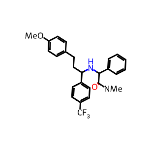 CNC(=O)C(NC(CCc1ccc(OC)cc1)c1ccc(C(F)(F)F)cc1)c1ccccc1